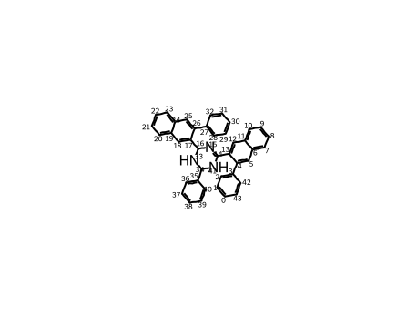 c1ccc(-c2cc3ccccc3cc2C2=NC(c3cc4ccccc4cc3-c3ccccc3)NC(c3ccccc3)N2)cc1